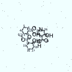 CC(=O)c1cccc(C(=O)O)c1OCc1ccccc1O.O=C(O)c1ccncc1O